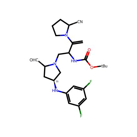 C=C(C(CN1C[C@@H](Nc2cc(F)cc(F)c2)CC1C=O)NC(=O)OC(C)(C)C)N1CCCC1C#N